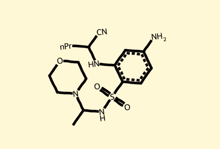 CCCC(C#N)Nc1cc(N)ccc1S(=O)(=O)NC(C)N1CCOCC1